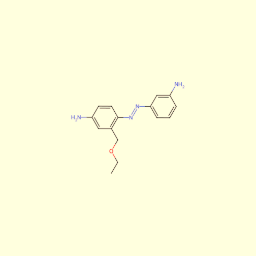 CCOCc1cc(N)ccc1/N=N/c1cccc(N)c1